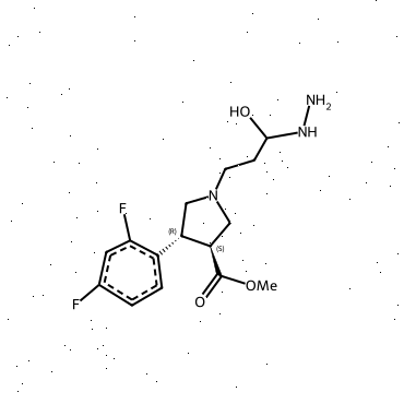 COC(=O)[C@@H]1CN(CCC(O)NN)C[C@H]1c1ccc(F)cc1F